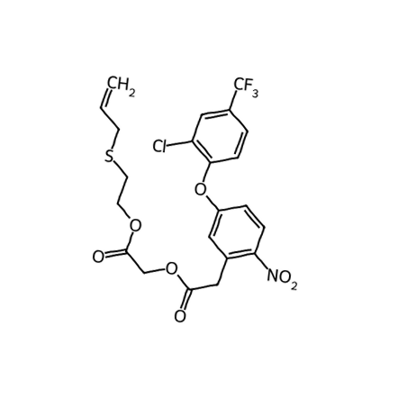 C=CCSCCOC(=O)COC(=O)Cc1cc(Oc2ccc(C(F)(F)F)cc2Cl)ccc1[N+](=O)[O-]